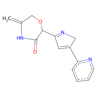 C=C1COC(C2=NCC(c3ccccn3)=C2)C(=O)N1